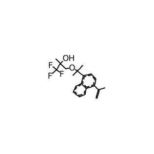 C=C(C)c1ccc(C(C)(C)OCC(C)(O)C(F)(F)F)c2ccccc12